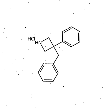 Cl.c1ccc(CC2(c3ccccc3)CNC2)cc1